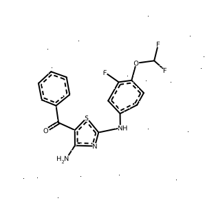 Nc1nc(Nc2ccc(OC(F)F)c(F)c2)sc1C(=O)c1ccccc1